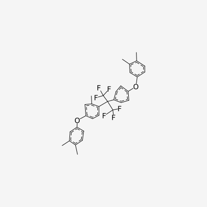 Cc1ccc(Oc2ccc(C(c3ccc(Oc4ccc(C)c(C)c4)cc3C)(C(F)(F)F)C(F)(F)F)cc2)cc1C